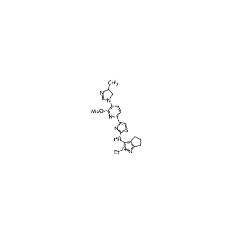 CCn1nc2c(c1Nc1nc(-c3ccc(N4C=NC(C)C4)c(OC)n3)cs1)CCC2